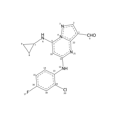 O=Cc1cnn2c(NC3CC3)cc(Nc3ccc(F)cc3Cl)nc12